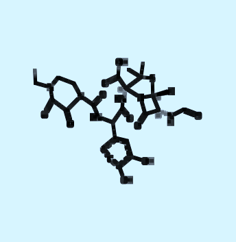 CCN1CCN(C(=O)NC(C(=O)N[C@@]2(C(=O)O)N3C(=O)[C@@H](NC=O)[C@H]3SC2(C)C)c2ccc(O)c(O)c2)C(=O)C1=O